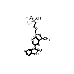 Cc1cn(COCC[Si](C)(C)C)c2ncc(-n3c(=O)[nH]c4ccccc43)cc12